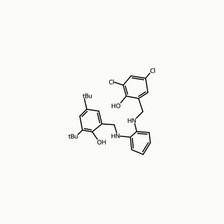 CC(C)(C)c1cc(CNc2ccccc2NCc2cc(Cl)cc(Cl)c2O)c(O)c(C(C)(C)C)c1